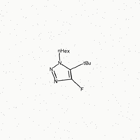 CCCCCCn1nnc(F)c1C(C)(C)C